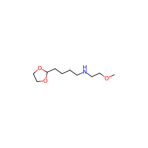 COCCNC[CH]CCC1OCCO1